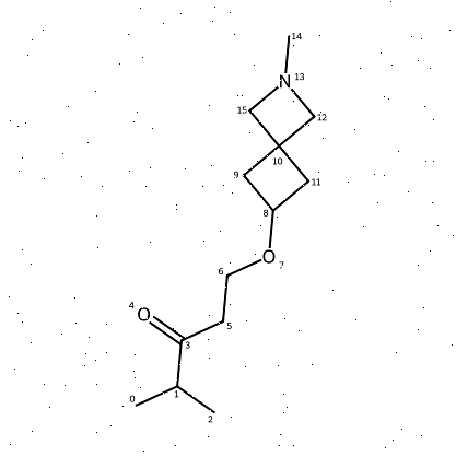 CC(C)C(=O)CCOC1CC2(C1)CN(C)C2